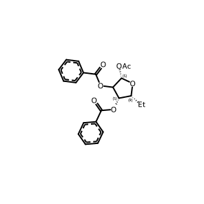 CC[C@H]1O[C@@H](OC(C)=O)C(OC(=O)c2ccccc2)[C@H]1OC(=O)c1ccccc1